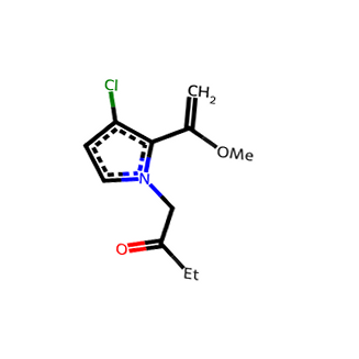 C=C(OC)c1c(Cl)ccn1CC(=O)CC